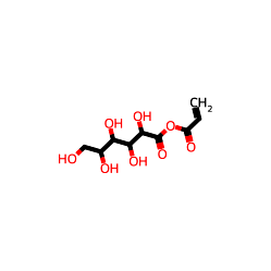 C=CC(=O)OC(=O)C(O)C(O)C(O)C(O)CO